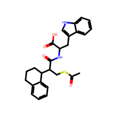 CC(=O)SCC(C(=O)NC(Cc1c[nH]c2ccccc12)C(=O)O)C1CCCc2ccccc21